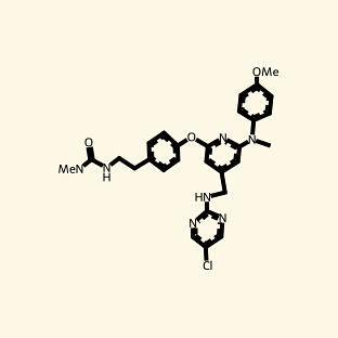 CNC(=O)NCCc1ccc(Oc2cc(CNc3ncc(Cl)cn3)cc(N(C)c3ccc(OC)cc3)n2)cc1